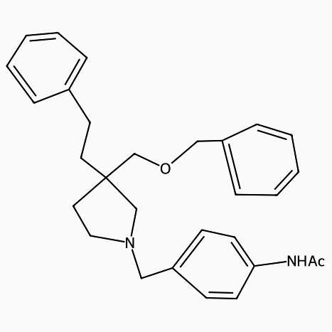 CC(=O)Nc1ccc(CN2CCC(CCc3ccccc3)(COCc3ccccc3)C2)cc1